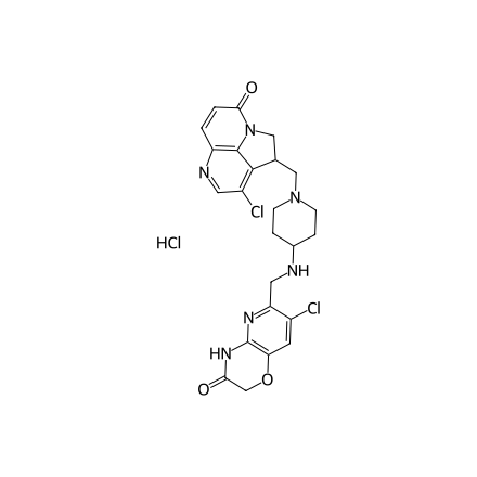 Cl.O=C1COc2cc(Cl)c(CNC3CCN(CC4Cn5c(=O)ccc6ncc(Cl)c4c65)CC3)nc2N1